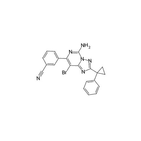 N#Cc1cccc(-c2nc(N)n3nc(C4(c5ccccc5)CC4)nc3c2Br)c1